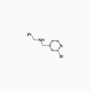 CC(C)CNCc1ccnc(Br)c1